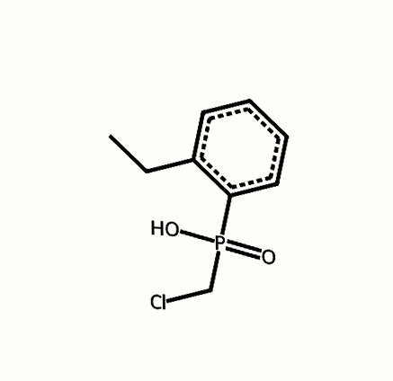 CCc1ccccc1P(=O)(O)CCl